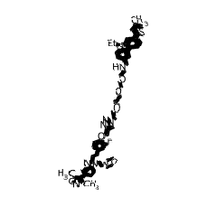 CCn1c2ccc(CNCCOCCOCCOCCn3cc(COc4ccc(CCc5nc6cc(-c7c(C)noc7C)ccc6n5CCN5CCOCC5)cc4F)nn3)cc2c2ccc(-c3cc(C)cs3)cc21